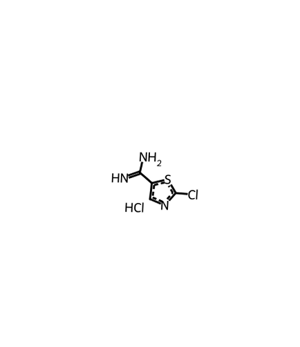 Cl.N=C(N)c1cnc(Cl)s1